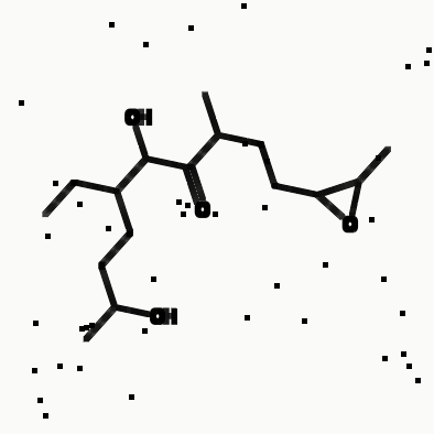 CCC(CCC(C)O)C(O)C(=O)C(C)CCC1OC1C